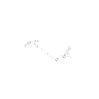 Cc1ncsc1-c1ccc(CNC(=O)[C@@H]2C[C@@H](O)CN2C(=O)[C@@H](NC(=O)CCOCCOCCOCCCCCCOc2cccc(CNC(=O)c3cccc(NC4(c5nnc(-c6ccncc6)[nH]5)CCN(C(=O)OC(C)(C)C)CC4)c3)c2)C(C)(C)C)cc1